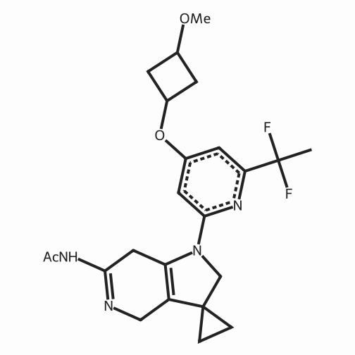 COC1CC(Oc2cc(N3CC4(CC4)C4=C3CC(NC(C)=O)=NC4)nc(C(C)(F)F)c2)C1